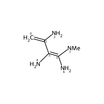 C=C(N)/C(N)=C(/N)NC